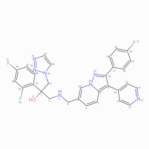 OC(CNCc1ccc2c(-c3ccncc3)c(-c3ccc(F)cc3)nn2c1)(Cn1ccnn1)c1ccc(F)cc1F